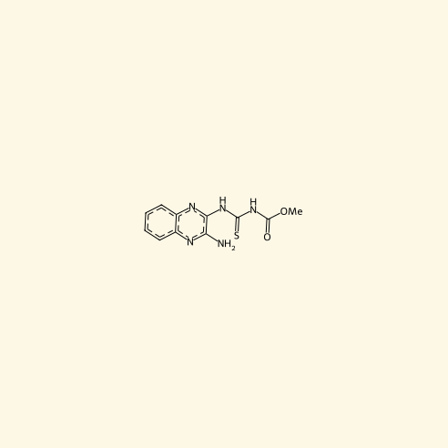 COC(=O)NC(=S)Nc1nc2ccccc2nc1N